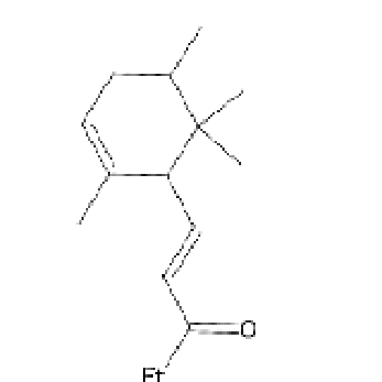 CCC(=O)/C=C/C1C(C)=CCC(C)C1(C)C